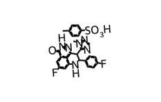 Cc1ccc(S(=O)(=O)O)cc1.Cn1ncnc1C1c2n[nH]c(=O)c3cc(F)cc(c23)NC1c1ccc(F)cc1